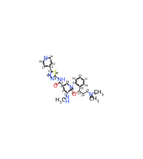 CNc1cc(C(=O)Nc2nnc(-c3ccncc3)s2)cnc1OC(CCN(C)C)c1ccccc1